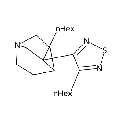 CCCCCCc1nsnc1C1(CCCCCC)CN2CCC1CC2